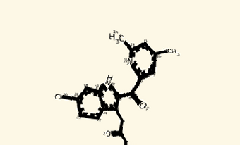 COC(=O)Cc1c(C(=O)c2cc(C)cc(C)n2)[nH]c2cc(Cl)ccc12